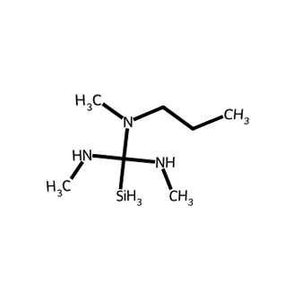 CCCN(C)C([SiH3])(NC)NC